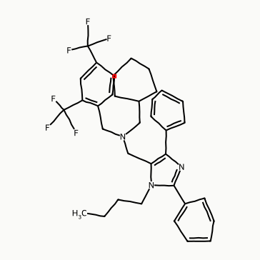 CCCCn1c(-c2ccccc2)nc(-c2ccccc2)c1CN(Cc1ccc(C(F)(F)F)cc1C(F)(F)F)CC1CCCCC1